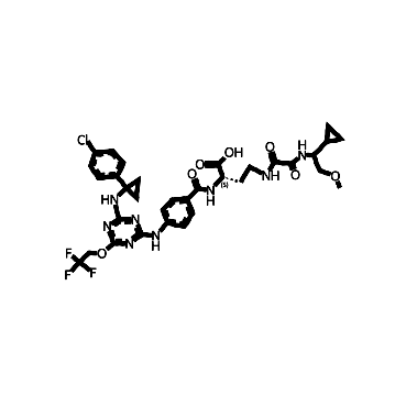 COCC(NC(=O)C(=O)NCC[C@H](NC(=O)c1ccc(Nc2nc(NC3(c4ccc(Cl)cc4)CC3)nc(OCC(F)(F)F)n2)cc1)C(=O)O)C1CC1